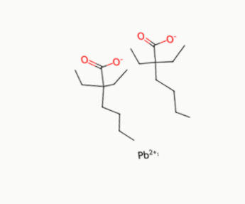 CCCCC(CC)(CC)C(=O)[O-].CCCCC(CC)(CC)C(=O)[O-].[Pb+2]